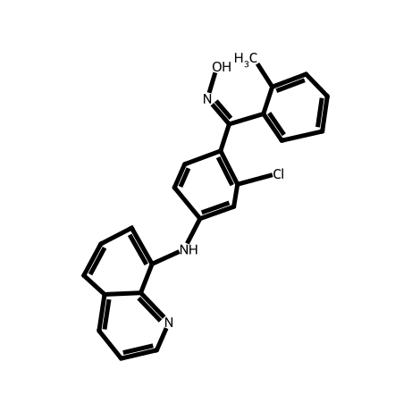 Cc1ccccc1C(=NO)c1ccc(Nc2cccc3cccnc23)cc1Cl